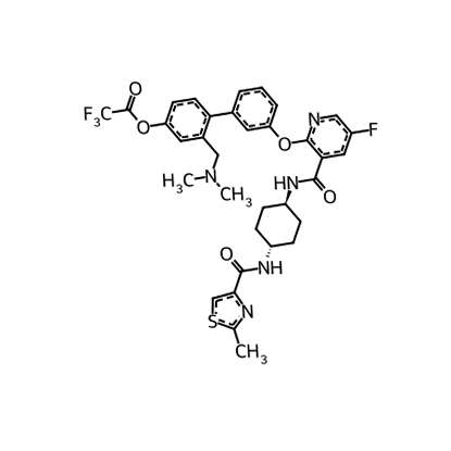 Cc1nc(C(=O)N[C@H]2CC[C@H](NC(=O)c3cc(F)cnc3Oc3cccc(-c4ccc(OC(=O)C(F)(F)F)cc4CN(C)C)c3)CC2)cs1